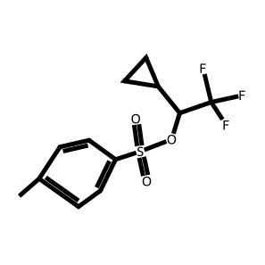 Cc1ccc(S(=O)(=O)OC(C2CC2)C(F)(F)F)cc1